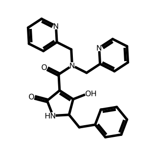 O=C1NC(Cc2ccccc2)C(O)=C1C(=O)N(Cc1ccccn1)Cc1ccccn1